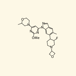 COc1nc(N2CCOC(C)C2)cc(-n2ncc3cc(C)c(C4CCN(C5COC5)CC4F)cc32)n1